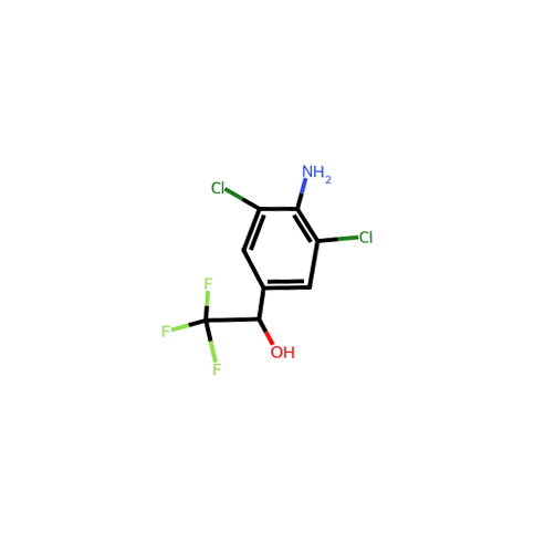 Nc1c(Cl)cc(C(O)C(F)(F)F)cc1Cl